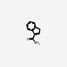 BC(=O)C1=CCc2ccccc21